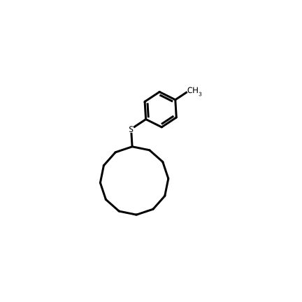 Cc1ccc(SC2CCCCCCCCCCC2)cc1